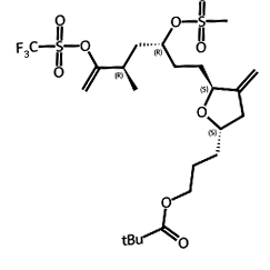 C=C(OS(=O)(=O)C(F)(F)F)[C@H](C)C[C@@H](CC[C@@H]1O[C@@H](CCCOC(=O)C(C)(C)C)CC1=C)OS(C)(=O)=O